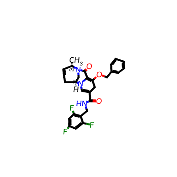 C[C@H]1C=CC[C@H]2CN1C(=O)C1=C(OCc3ccccc3)CC(C(=O)NCc3c(F)cc(F)cc3F)=CN12